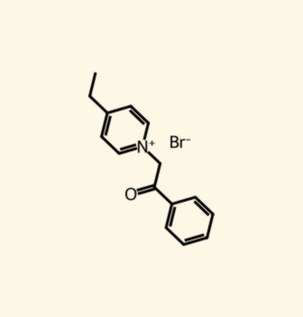 CCc1cc[n+](CC(=O)c2ccccc2)cc1.[Br-]